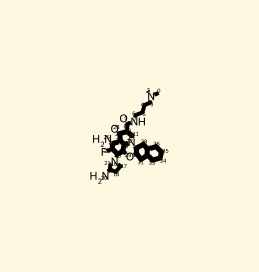 CN(C)CCCCNC(=O)c1cn2c3c(c(N4CCC(N)C4)c(F)c(N)c3c1=O)Oc1cc3ccccc3cc1-2